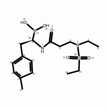 CCN(CCC(=O)N[C@@H](Cc1ccc(C)cc1)B(O)O)S(=O)(=O)CC